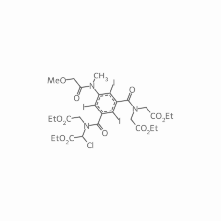 CCOC(=O)CN(CC(=O)OCC)C(=O)c1c(I)c(C(=O)N(CC(=O)OCC)C(Cl)C(=O)OCC)c(I)c(N(C)C(=O)COC)c1I